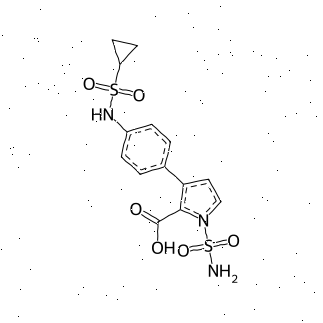 NS(=O)(=O)n1ccc(-c2ccc(NS(=O)(=O)C3CC3)cc2)c1C(=O)O